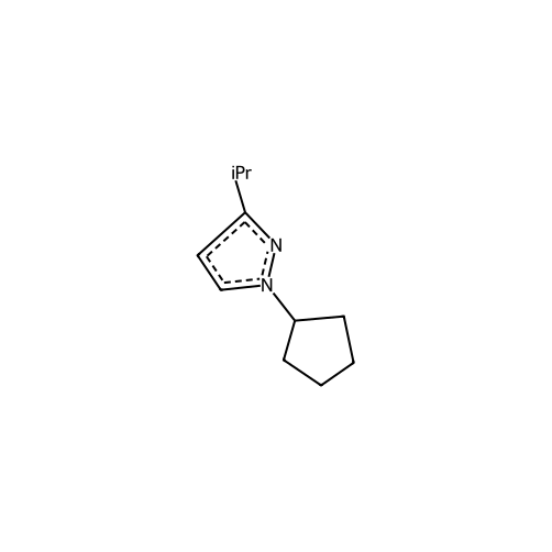 CC(C)c1ccn(C2CCCC2)n1